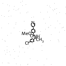 COc1cc(-c2ccncc2)ccc1C(=O)N[C@H](C)c1ccc(Cl)cc1